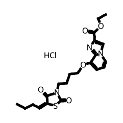 CCC/C=C1/SC(=O)N(CCCCOc2cccn3cc(C(=O)OCC)nc23)C1=O.Cl